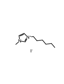 CCCCCC[n+]1ccn(C)c1.[I-]